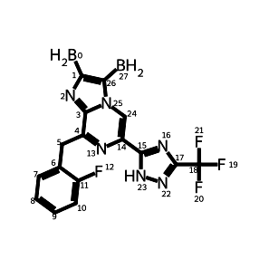 Bc1nc2c(Cc3ccccc3F)nc(-c3nc(C(F)(F)F)n[nH]3)cn2c1B